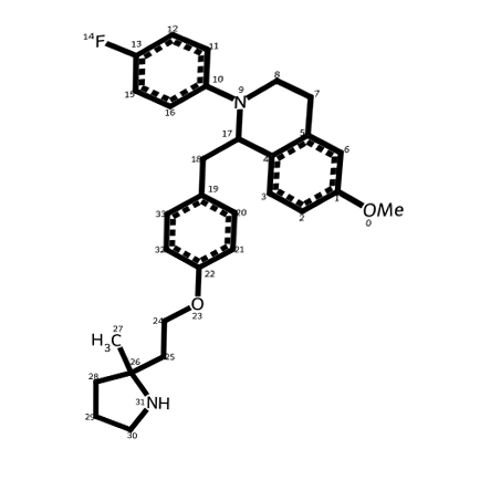 COc1ccc2c(c1)CCN(c1ccc(F)cc1)C2Cc1ccc(OCCC2(C)CCCN2)cc1